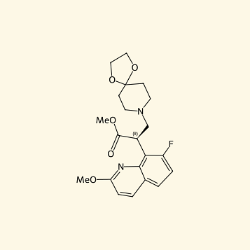 COC(=O)[C@@H](CN1CCC2(CC1)OCCO2)c1c(F)ccc2ccc(OC)nc12